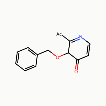 CC(=O)C1=NC=CC(=O)C1OCc1ccccc1